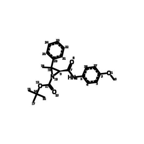 COc1ccc(NC(=O)[C@H]2N(C(=O)OC(C)(C)C)C2(C)c2ccccc2)cc1